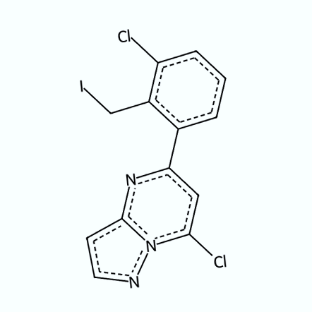 Clc1cccc(-c2cc(Cl)n3nccc3n2)c1CI